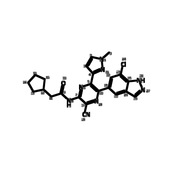 Cn1ccc(-c2nc(NC(=O)CC3CCCC3)c(C#N)nc2-c2cc(Cl)c3[nH]ncc3c2)n1